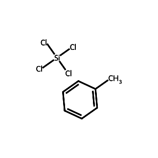 Cc1ccccc1.Cl[Si](Cl)(Cl)Cl